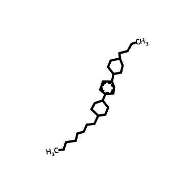 CCCCCCCCC1CCC(c2ccc(C3CCC(CCCC)CC3)cc2)CC1